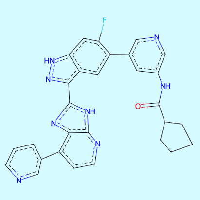 O=C(Nc1cncc(-c2cc3c(-c4nc5c(-c6cccnc6)ccnc5[nH]4)n[nH]c3cc2F)c1)C1CCCC1